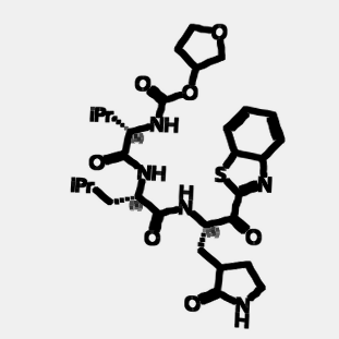 CC(C)C[C@H](NC(=O)[C@@H](NC(=O)OC1CCOC1)C(C)C)C(=O)N[C@@H](CC1CCNC1=O)C(=O)C1=NC2C=CC=CC2S1